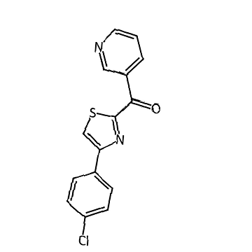 O=C(c1cccnc1)c1nc(-c2ccc(Cl)cc2)cs1